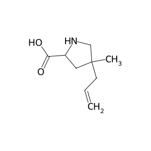 C=CCC1(C)CNC(C(=O)O)C1